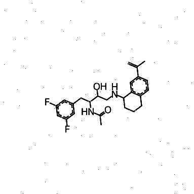 C=C(C)c1ccc2c(c1)C(NCC(O)C(Cc1cc(F)cc(F)c1)NC(C)=O)CCC2